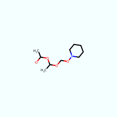 CC([O])OC(C)OCON1CCCCC1